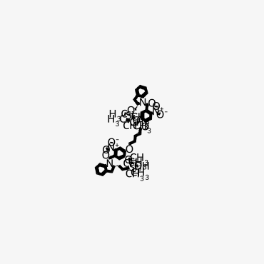 COc1cc(C(=O)N2c3ccccc3C[C@H]2CCC(C)(C)[Si](C)(C)O)c([N+](=O)[O-])cc1OCCCCCOc1cc([N+](=O)[O-])c(C(=O)N2c3ccccc3C[C@H]2CO[Si](C)(C)C(C)(C)C)cc1OC